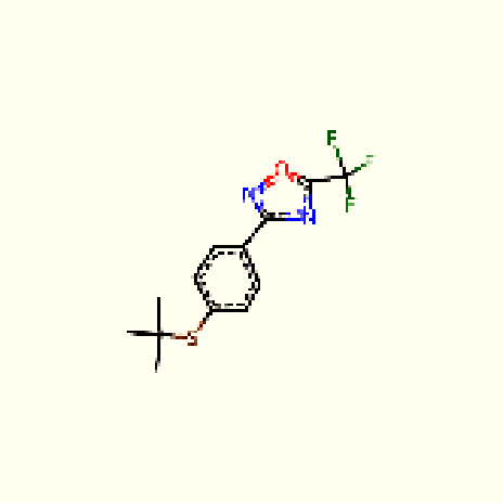 CC(C)(C)Sc1ccc(-c2noc(C(F)(F)F)n2)cc1